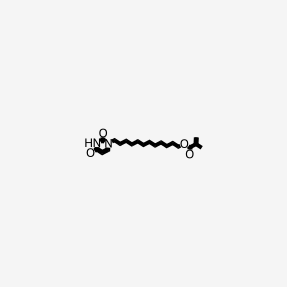 C=C(C)C(=O)OCCCCCCCCCCCCn1ccc(=O)[nH]c1=O